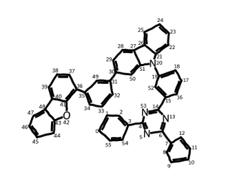 c1ccc(-c2nc(-c3ccccc3)nc(-c3cccc(-n4c5ccccc5c5ccc(-c6cccc(-c7cccc8c7oc7ccccc78)c6)cc54)c3)n2)cc1